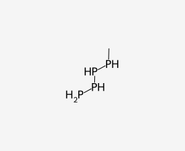 CPPPP